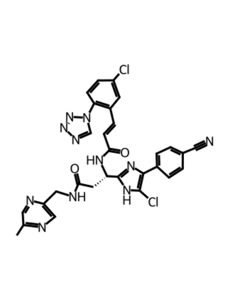 Cc1cnc(CNC(=O)C[C@H](NC(=O)/C=C/c2cc(Cl)ccc2-n2cnnn2)c2nc(-c3ccc(C#N)cc3)c(Cl)[nH]2)cn1